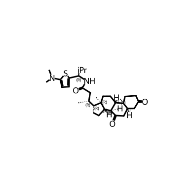 CC(C)[C@@H](NC(=O)C[C@@H](C)[C@H]1CC[C@H]2[C@@H]3C(=O)C[C@@H]4CC(=O)CC[C@]4(C)[C@H]3CC[C@]12C)c1ccc(N(C)C)s1